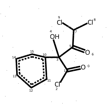 O=C(Cl)C(O)(C(=O)C(Cl)Cl)c1ccccc1